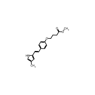 COC(=O)CCCOc1ccc(/C=C/c2cc(C)c[nH]2)cc1